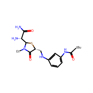 CCN1C(=O)[C@@H](CNc2cccc(NC(=O)C(C)(C)C)c2)SC1[C@H](N)C(N)=O